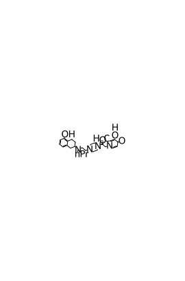 CCCN(CCN1CCN(C(=O)Cn2ccc(=O)c(O)c2C)CC1)[C@H]1CCc2c(O)cccc2C1